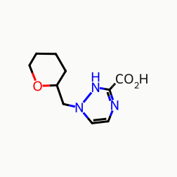 O=C(O)C1=NC=CN(CC2CCCCO2)N1